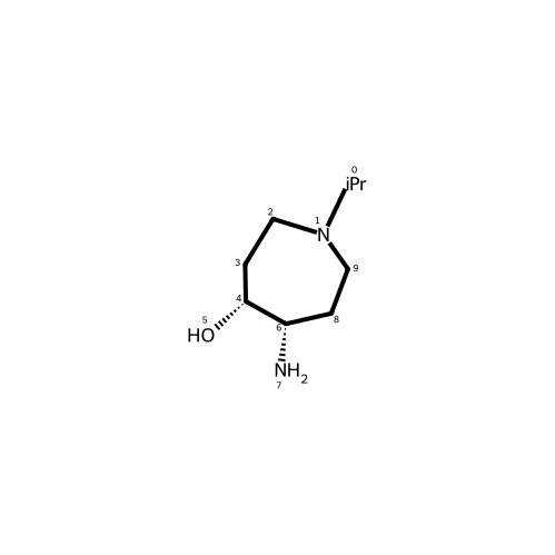 CC(C)N1CC[C@@H](O)[C@@H](N)CC1